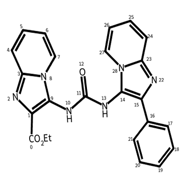 CCOC(=O)c1nc2ccccn2c1NC(=O)Nc1c(-c2ccccc2)nc2ccccn12